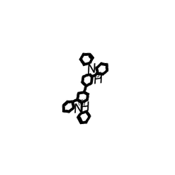 C1=CC(N2C3CCC(C4CC[C@@H]5C(C4)C4C=CCCC4N5C4C=CCCC4)CC3[C@@H]3CCCCC32)CCC1